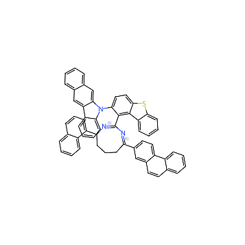 c1ccc2cc3c(cc2c1)c1ccccc1n3-c1ccc2sc3ccccc3c2c1C1=N/C(c2cccc3ccccc23)CCC/C(c2ccc3c(ccc4ccccc43)c2)=N\1